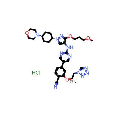 COCCCOc1nn([C@H]2CC[C@H](N3CCOCC3)CC2)cc1Nc1ncc(-c2ccc(C#N)c(O[C@@H](C)Cn3cnnn3)c2)cn1.Cl